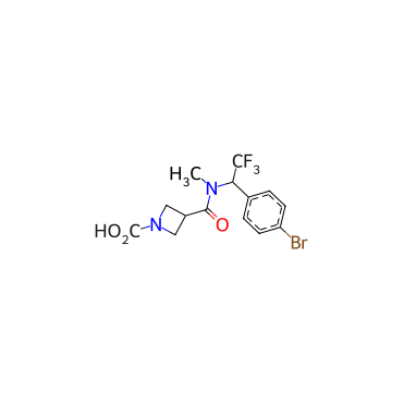 CN(C(=O)C1CN(C(=O)O)C1)C(c1ccc(Br)cc1)C(F)(F)F